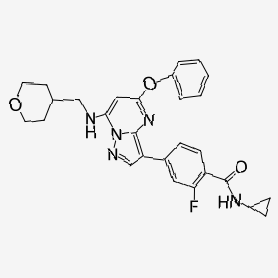 O=C(NC1CC1)c1ccc(-c2cnn3c(NCC4CCOCC4)cc(Oc4ccccc4)nc23)cc1F